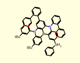 CC(C)(C)c1cccc(N2c3cc(C(C)(C)C)ccc3B3c4cc([SiH2]c5ccccc5)ccc4N(c4ccccc4-c4ccccc4)c4cc(-c5ccccc5-c5ccccc5)cc2c43)c1